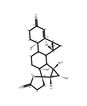 C[C@H]1[C@H]2C3C4C(CC[C@]3(C)[C@]3(CCC(=O)O3)[C@@H]12)[C@@]1(C)CCC(=O)C=C1[C@@H]1C[C@H]41